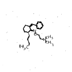 CCCC[C@H]1CCCC(=Cc2ccccc2)C1=NOCCN(C)C